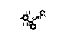 Cc1cc(Cl)cc(-c2[nH]c3ccccc3c2SCCN=C2CCCN2C)c1